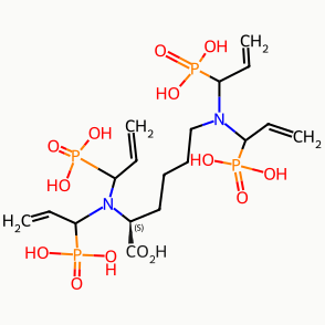 C=CC(N(CCCC[C@@H](C(=O)O)N(C(C=C)P(=O)(O)O)C(C=C)P(=O)(O)O)C(C=C)P(=O)(O)O)P(=O)(O)O